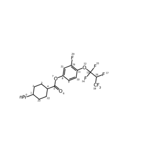 CCCC1CCC(C(=O)Oc2ccc(OC(F)(F)C(F)C(F)(F)F)c(F)c2)CC1